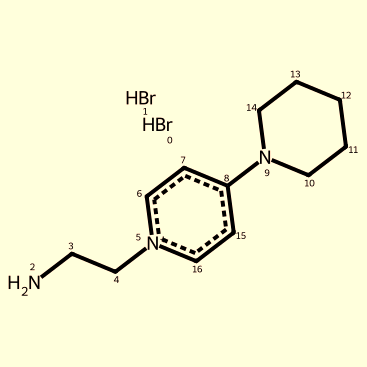 Br.Br.NCC[n+]1ccc(N2CCCCC2)cc1